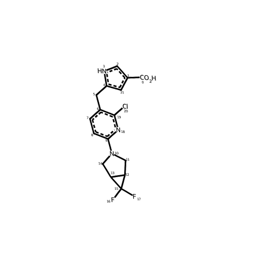 O=C(O)c1c[nH]c(Cc2ccc(N3CC4C(C3)C4(F)F)nc2Cl)c1